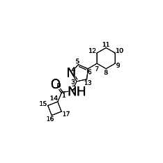 O=C(NC1=NC=C(C2CCCCC2)C1)C1CCC1